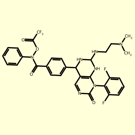 CN(C)CCNC1Nc2c(cnc(=O)n2-c2c(F)cccc2F)C(c2ccc(C(=O)N(OC(=O)C(F)(F)F)c3ccccc3)cc2)N1